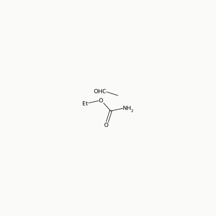 CC=O.CCOC(N)=O